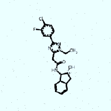 CCn1nc(-c2ccc(Cl)c(F)c2)nc1CC(=O)NC1C2C=CC=CC2C[C@H]1O